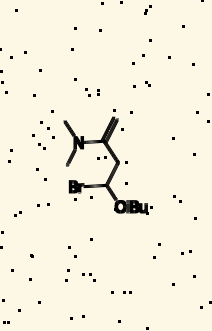 C=C(CC(Br)OCC(C)C)N(C)C